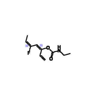 C=C/C(=C\C(F)=C/C)OC(=O)NCC